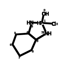 O[PH]1(Cl)NC2CCCCC2N1